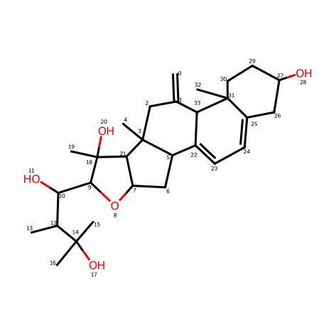 C=C1CC2(C)C(CC3OC(C(O)C(C)C(C)(C)O)C(C)(O)C32)C2=CC=C3CC(O)CCC3(C)C12